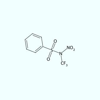 O=[N+]([O-])N(C(F)(F)F)S(=O)(=O)c1ccccc1